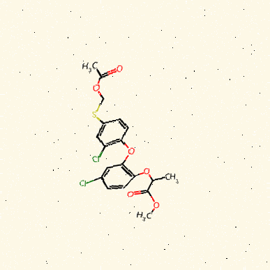 COC(=O)C(C)Oc1ccc(Cl)cc1Oc1ccc(SCOC(C)=O)cc1Cl